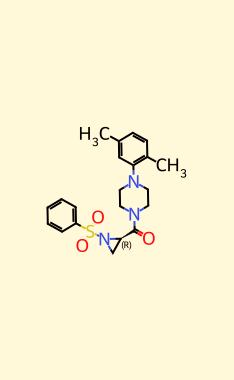 Cc1ccc(C)c(N2CCN(C(=O)[C@H]3CN3S(=O)(=O)c3ccccc3)CC2)c1